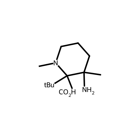 CN1CCCC(C)(N)C1(C(=O)O)C(C)(C)C